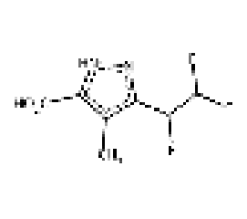 Cc1c(C(F)C(F)F)n[nH]c1C(=O)O